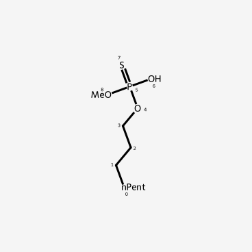 CCCCCCCCOP(O)(=S)OC